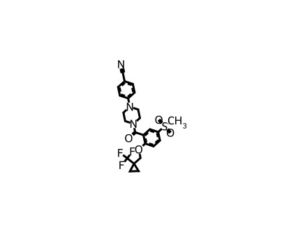 CS(=O)(=O)c1ccc(OCC2(C(F)(F)F)CC2)c(C(=O)N2CCN(c3ccc(C#N)cc3)CC2)c1